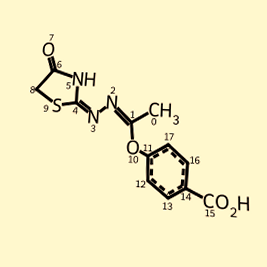 C/C(=N/N=C1\NC(=O)CS1)Oc1ccc(C(=O)O)cc1